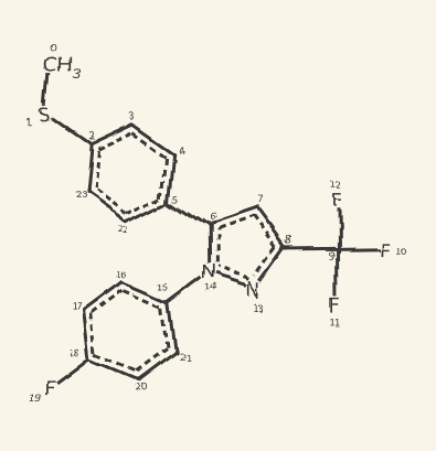 CSc1ccc(-c2cc(C(F)(F)F)nn2-c2ccc(F)cc2)cc1